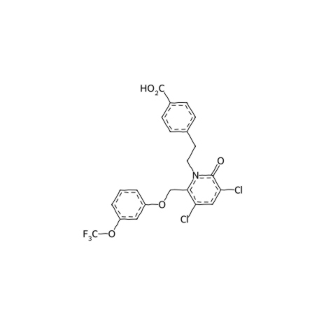 O=C(O)c1ccc(CCn2c(COc3cccc(OC(F)(F)F)c3)c(Cl)cc(Cl)c2=O)cc1